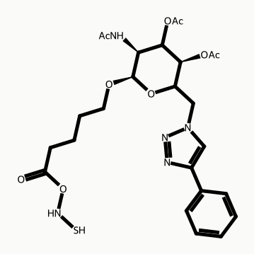 CC(=O)N[C@H]1C(OC(C)=O)[C@@H](OC(C)=O)C(Cn2cc(-c3ccccc3)nn2)O[C@H]1OCCCCC(=O)ONS